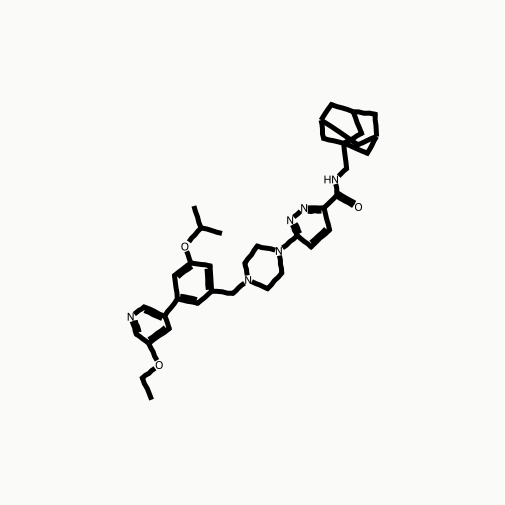 CCOc1cncc(-c2cc(CN3CCN(c4ccc(C(=O)NCC56CC7CC(CC(C7)C5)C6)nn4)CC3)cc(OC(C)C)c2)c1